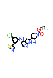 CC(C)(C)OC(=O)N1CC=C(C2Cc3c(Nc4cc(Cl)cc(-c5cncs5)c4)ccnc3N2)CC1